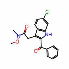 CON(C)C(=O)Cc1c(C(=O)c2ccccc2)[nH]c2cc(Cl)ccc12